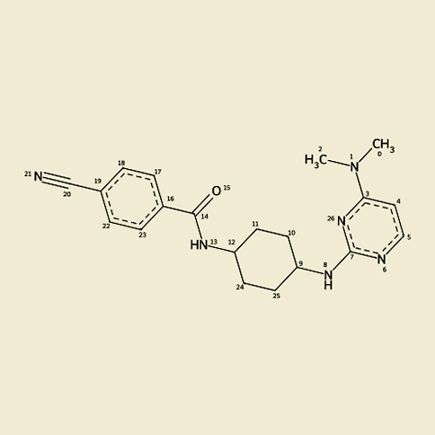 CN(C)c1ccnc(NC2CCC(NC(=O)c3ccc(C#N)cc3)CC2)n1